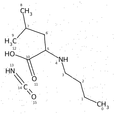 CCCCNC(CC(C)C)C(=O)O.N=C=O